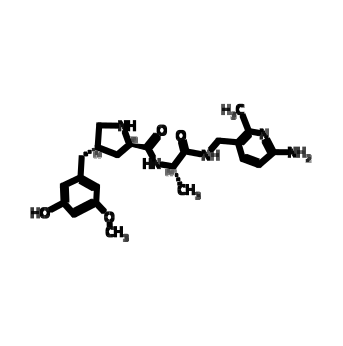 COc1cc(O)cc(C[C@@H]2CN[C@@H](C(=O)N[C@@H](C)C(=O)NCc3ccc(N)nc3C)C2)c1